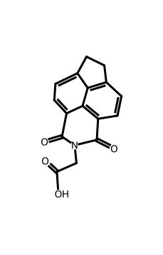 O=C(O)CN1C(=O)c2ccc3c4c(ccc(c24)C1=O)CC3